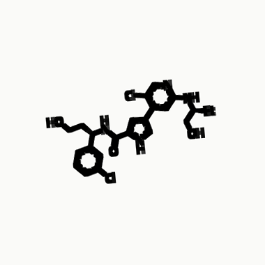 CC[C@@H](CO)Nc1cc(-c2c[nH]c(C(=O)N[C@H](CCO)c3cccc(Cl)c3)c2)c(Cl)cn1